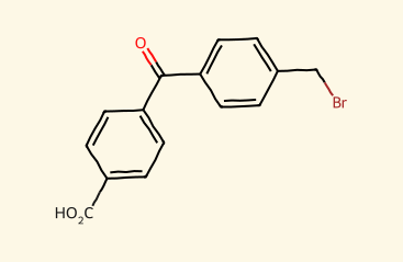 O=C(O)c1ccc(C(=O)c2ccc(CBr)cc2)cc1